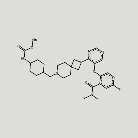 CC(C)N(C)C(=O)c1cc(F)ccc1Oc1cncnc1N1CC2(CCN(CC3CCC(NC(=O)OC(C)(C)C)CC3)CC2)C1